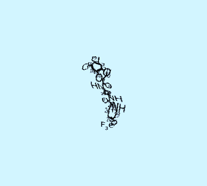 O=C(NC12CC(NC(=O)C3COc4cc(Cl)c(Cl)cc4O3)(C1)C2)C1CCC(OC(F)(F)F)CN1